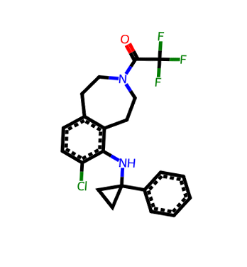 O=C(N1CCc2ccc(Cl)c(NC3(c4ccccc4)CC3)c2CC1)C(F)(F)F